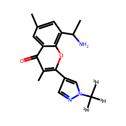 [2H]C([2H])([2H])n1cc(-c2oc3c(C(C)N)cc(C)cc3c(=O)c2C)cn1